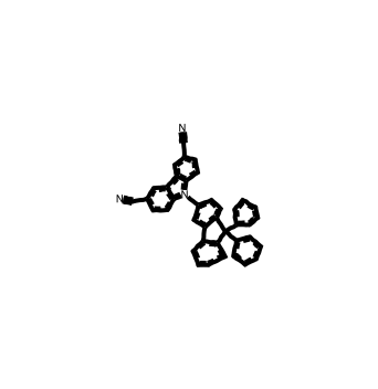 N#Cc1ccc2c(c1)c1cc(C#N)ccc1n2-c1ccc2c(c1)-c1ccccc1C2(c1ccccc1)c1ccccc1